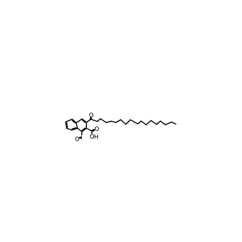 CCCCCCCCCCCCCCCCCC(=O)c1cc2ccccc2c(I=O)c1C(=O)O